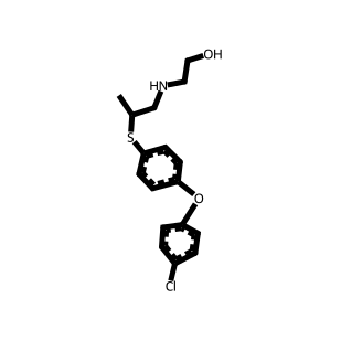 CC(CNCCO)Sc1ccc(Oc2ccc(Cl)cc2)cc1